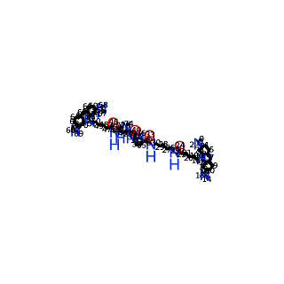 CN(C)c1ccc2cc3ccc(N(C)C)cc3[n+](CCCCCC(=O)NCCCCCNC(=O)c3ccc(NC(=O)c4cc(NC(=O)CCCCC[n+]5c6cc(N(C)C)ccc6cc6ccc(N(C)C)cc65)cn4C)n3C)c2c1